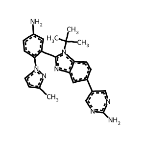 Cc1ccn(-c2ccc(N)cc2-c2nc3cc(-c4cnc(N)nc4)ccc3n2C(C)(C)C)n1